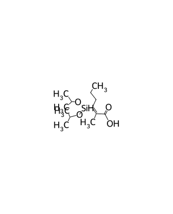 CCC/C(=C(/C)C(=O)O)[SiH](OC(C)C)OC(C)C